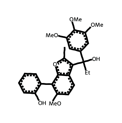 CCC(O)(c1cc(OC)c(OC)c(OC)c1)c1c(C)oc2c(-c3ccccc3O)c(OC)ccc12